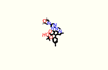 Cc1ccc(-c2c([C@H](OC(C)(C)C)C(=O)O)c(C)c3c4c2cc(C)n4CCN3c2ncc(N3C[C@@H](C)O[C@@H](C)C3)cn2)cc1